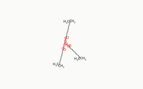 CC(C)CCCCCCCCCCCCCCC(=O)OCCOCC(COCCOC(=O)CCCCCCCCCCCCCCC(C)C)OCCOC(=O)CCCCCCCCCCCCCCC(C)C